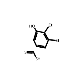 CCc1cccc(O)c1CC.S=CS